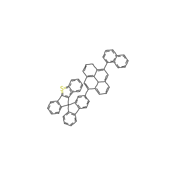 C1=CC2=CC(c3cccc4ccccc34)=C3CC=CC4=C3C2C(=C1)C(c1ccc2c(c1)C1(c3ccccc3-2)c2ccccc2-c2sc3ccccc3c21)=C4